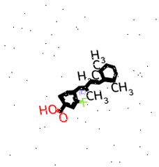 CC1=C(C=C/C(C)=C/c2ccc(C(=O)O)cc2F)C(C)(C)CCC1